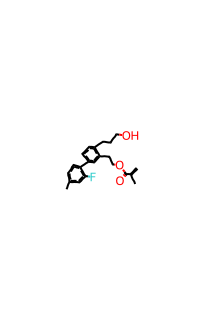 C=C(C)C(=O)OCCc1cc(-c2ccc(C)cc2F)ccc1CCCO